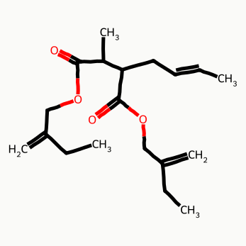 C=C(CC)COC(=O)C(C)C(CC=CC)C(=O)OCC(=C)CC